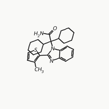 Cc1ccsc1-c1nc2ccccc2n1C(C(N)=O)(C1CCCCC1)C1CCCCC1